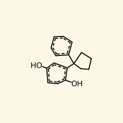 Oc1ccc(O)c(C2(c3ccccc3)CCCC2)c1